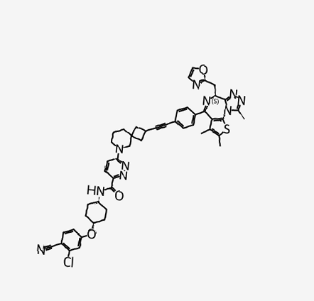 Cc1sc2c(c1C)C(c1ccc(C#CC3CC4(CCCN(c5ccc(C(=O)N[C@H]6CC[C@H](Oc7ccc(C#N)c(Cl)c7)CC6)nn5)C4)C3)cc1)=N[C@@H](Cc1ncco1)c1nnc(C)n1-2